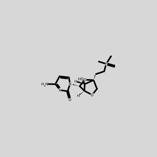 C=P(C)(C)CC[C@@]12CO[C@@H]([C@H](n3ccc(N)nc3=O)O1)[C@@H]2O